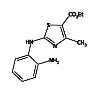 CCOC(=O)c1sc(Nc2ccccc2N)nc1C